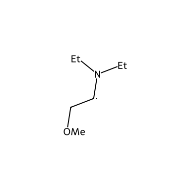 CCN([CH]COC)CC